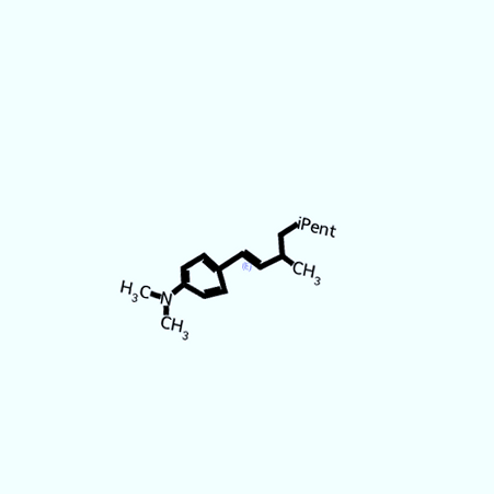 CCCC(C)CC(C)/C=C/c1ccc(N(C)C)cc1